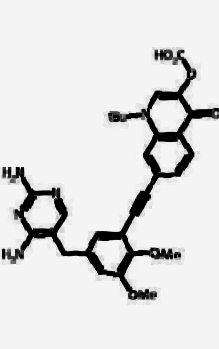 COc1cc(Cc2cnc(N)nc2N)cc(C#Cc2ccc3c(=O)c(OC(=O)O)cn(C(C)(C)C)c3c2)c1OC